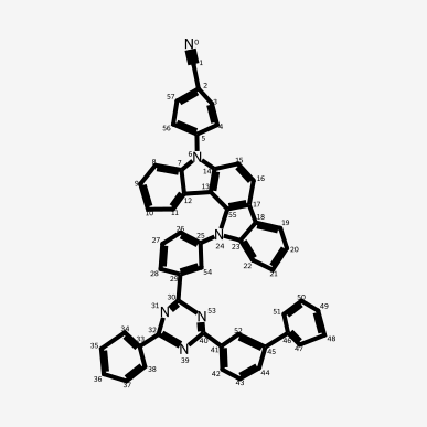 N#Cc1ccc(-n2c3ccccc3c3c2ccc2c4ccccc4n(-c4cccc(-c5nc(-c6ccccc6)nc(-c6cccc(-c7ccccc7)c6)n5)c4)c23)cc1